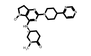 CN1C[C@@H](Nc2nc(N3CCC(c4ccncn4)CC3)nc3c2[S+]([O-])CC3)CCC1=O